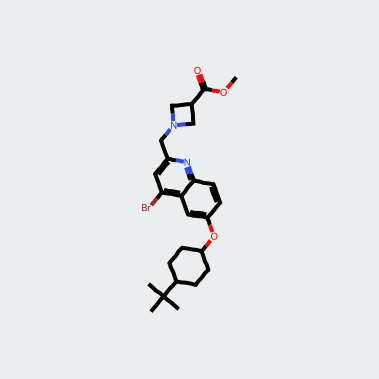 COC(=O)C1CN(Cc2cc(Br)c3cc(OC4CCC(C(C)(C)C)CC4)ccc3n2)C1